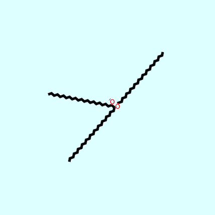 CCCCCCCCCCCCCCCCCCCCCCCO[C](CCCCCCCCCCCCCCCCCCCCCCC)C(CCCCCCCCCCCCCCCCCCCCC)OC